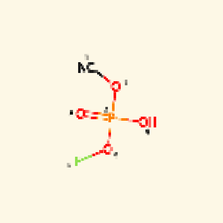 N#COP(=O)(O)OF